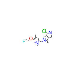 C=C1c2ccnc(Cl)c2CN1CC1=CC(C)=C(OCCF)CN1C